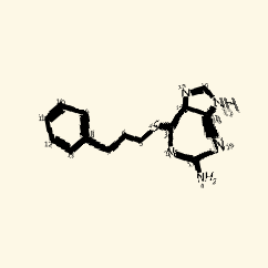 Nc1nc(SCCCc2ccccc2)c2nc[nH]c2n1